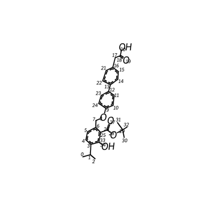 CC(C)c1ccc(COc2ccc(-c3ccc(CC(=O)O)cc3)cc2)c(C(=O)OC(C)(C)C)c1O